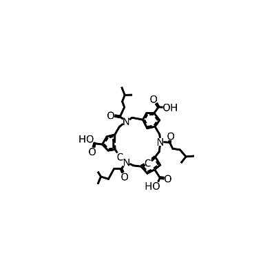 CC(C)CCC(=O)N1Cc2cc(cc(C(=O)O)c2)CN(C(=O)CCC(C)C)Cc2cc(cc(C(=O)O)c2)CN(C(=O)CCC(C)C)Cc2cc(cc(C(=O)O)c2)C1